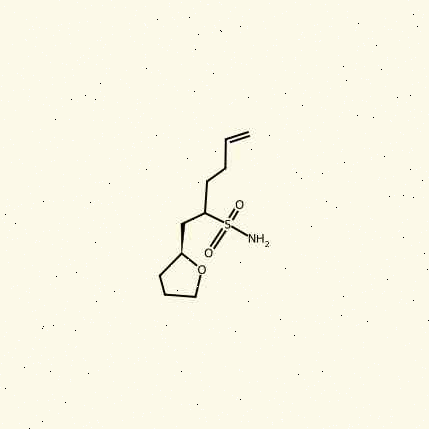 C=CCCC(C[C@@H]1CCCO1)S(N)(=O)=O